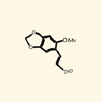 COc1cc2c(cc1/C=C/C=O)OCO2